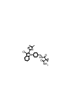 Cc1noc(-c2c(Cl)c3ccccc3n2-c2ccc(CNC(=O)C3(C(N)=O)CC3)cc2)n1